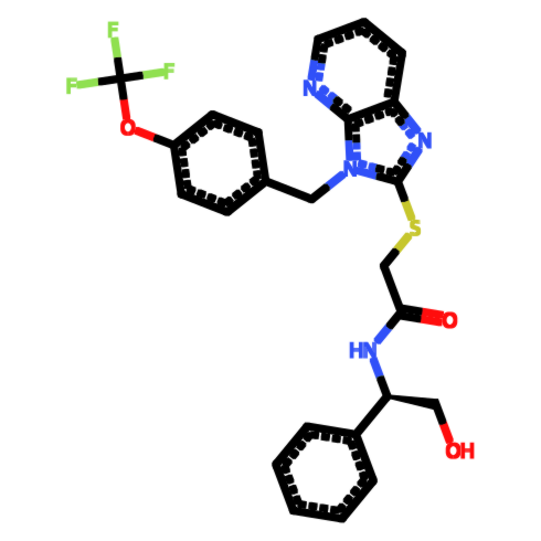 O=C(CSc1nc2cccnc2n1Cc1ccc(OC(F)(F)F)cc1)N[C@@H](CO)c1ccccc1